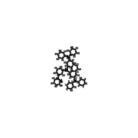 c1ccc(N(c2ccccc2)c2cc3ccc4cc(N(c5ccccc5)c5ccccc5)cc5c4c3c(c2)n5-c2cccc(-c3ccccn3)c2)cc1